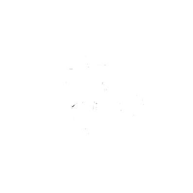 O=C(N[C@@H](Cc1ccccc1)C(=O)CP(=O)(O)O)c1ccccc1